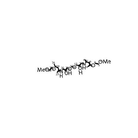 COCCOC(C)CC(C)NCC(O)COCOCC(O)CNC(C)CC(C)OCCOC